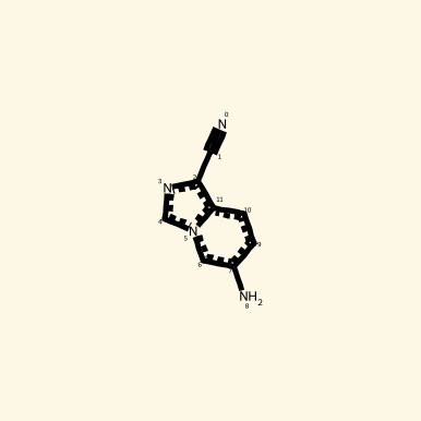 N#Cc1ncn2cc(N)ccc12